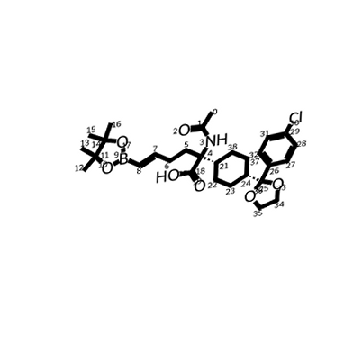 CC(=O)NC(CCC=CB1OC(C)(C)C(C)(C)O1)(C(=O)O)[C@H]1CC[C@@H](C2(c3ccc(Cl)cc3)OCCO2)CC1